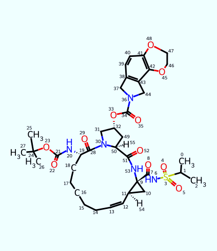 CC(C)S(=O)(=O)NC(=O)[C@@]12C[C@H]1/C=C\CCCCC[C@H](NC(=O)OC(C)(C)C)C(=O)N1C[C@H](OC(=O)N3Cc4ccc5c(c4C3)OCCO5)C[C@H]1C(=O)N2